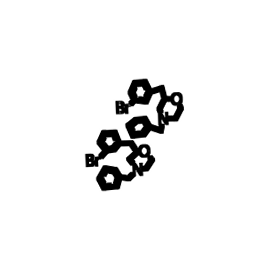 Brc1cccc(CC2CN(Cc3ccccc3)CCO2)c1.Brc1cccc(CC2CN(Cc3ccccc3)CCO2)c1